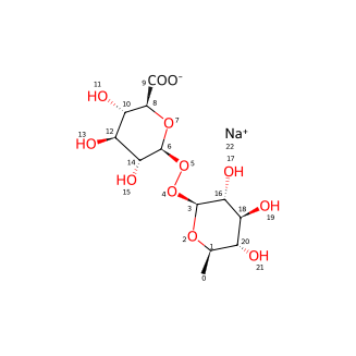 C[C@H]1O[C@@H](OO[C@@H]2O[C@H](C(=O)[O-])[C@@H](O)[C@H](O)[C@H]2O)[C@H](O)[C@@H](O)[C@@H]1O.[Na+]